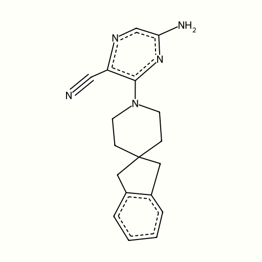 N#Cc1ncc(N)nc1N1CCC2(CC1)Cc1ccccc1C2